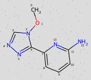 COn1cnnc1-c1cccc(N)n1